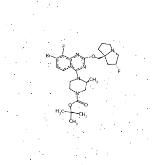 C[C@H]1CN(C(=O)OC(C)(C)C)CCN1c1nc(OC[C@@]23CCCN2C[C@H](F)C3)nc2c(F)c(Br)ccc12